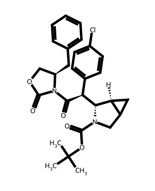 CC(C)(C)OC(=O)N1CC2C[C@@H]2[C@H]1[C@@H](C(=O)N1C(=O)OC[C@H]1Cc1ccccc1)c1ccc(Cl)cc1